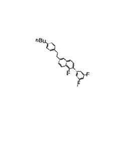 CCCCc1ccc(CCc2ccc3c(F)c(-c4cc(F)cc(F)c4)ccc3c2)cc1